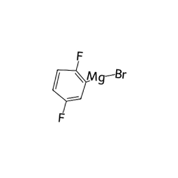 Fc1ccc(F)[c]([Mg][Br])c1